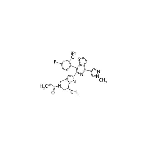 C=CC(=O)N1Cc2cc(-c3nc(-c4cnn(C)c4)c4ccsc4c3-c3ccc(F)cc3OC(C)C)nn2[C@@H](C)C1